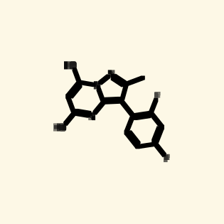 Cc1nn2c(O)cc(O)nc2c1-c1ccc(F)cc1F